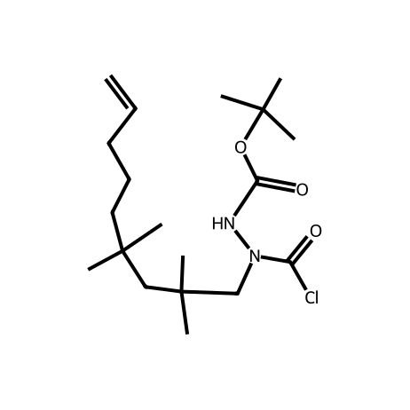 C=CCCCC(C)(C)CC(C)(C)CN(NC(=O)OC(C)(C)C)C(=O)Cl